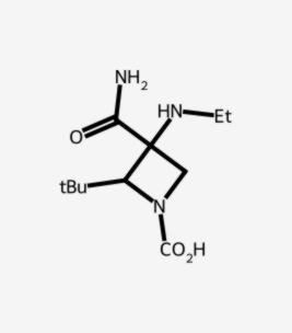 CCNC1(C(N)=O)CN(C(=O)O)C1C(C)(C)C